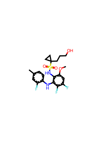 COc1cc(F)c(F)c(Nc2ccc(C)cc2F)c1NS(=O)(=O)C1(CCCO)CC1